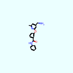 Cc1cc(CN)cc(Oc2cccc(C(=O)Nc3ccccc3)c2)n1